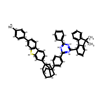 CC1(C)c2ccccc2-c2c(-c3nc(-c4ccccc4)nc(-c4ccc(C56CC7CC(C5)CC(c5ccc8c(c5)sc5cc(-c9ccc(C#N)cc9)ccc58)(C7)C6)cc4)n3)cccc21